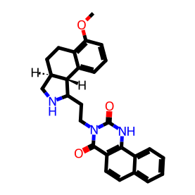 COc1cccc2c1CC[C@@H]1CNC(CCn3c(=O)[nH]c4c(ccc5ccccc54)c3=O)[C@@H]21